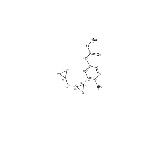 CC(C)(C)OC(=O)Oc1ccc(C(C)(C)C)c([C@@H]2C[C@@H]2CC2CC2)c1